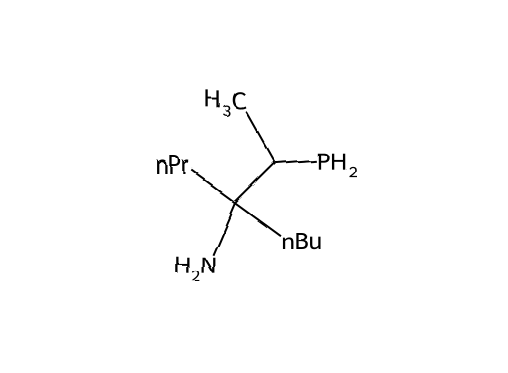 CCCCC(N)(CCC)C(C)P